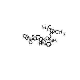 CC1CC(C)CN(CCC(=O)Nc2cccc(Nc3ncc4ccc5sc(C(=O)N6CCOCC6)cc5c4n3)c2)C1